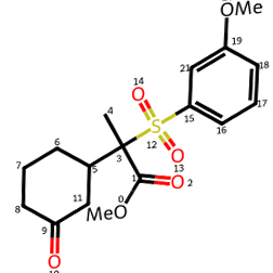 COC(=O)C(C)(C1CCCC(=O)C1)S(=O)(=O)c1cccc(OC)c1